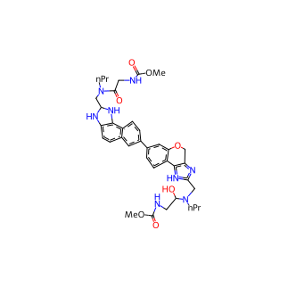 CCCN(CC1Nc2ccc3cc(-c4ccc5c(c4)OCc4nc(CN(CCC)C(O)CNC(=O)OC)[nH]c4-5)ccc3c2N1)C(=O)CNC(=O)OC